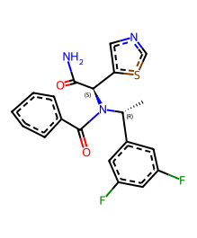 C[C@H](c1cc(F)cc(F)c1)N(C(=O)c1ccccc1)[C@@H](C(N)=O)c1cncs1